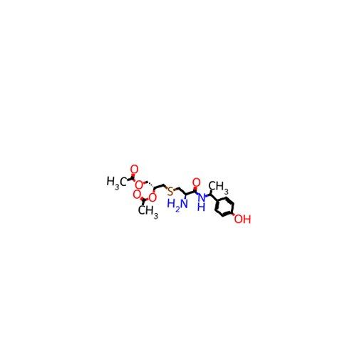 CC(=O)OC[C@H](CSC[C@H](N)C(=O)NC(C)c1ccc(O)cc1)OC(C)=O